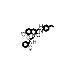 CCc1ccc(NCc2cc3ccc(OC)cc3n(CC(=O)Nc3ccccc3OC)c2=O)cc1